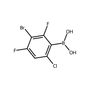 OB(O)c1c(Cl)cc(F)c(Br)c1F